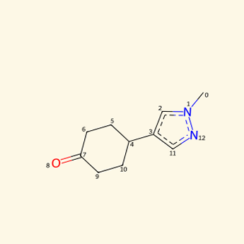 Cn1cc(C2CCC(=O)CC2)cn1